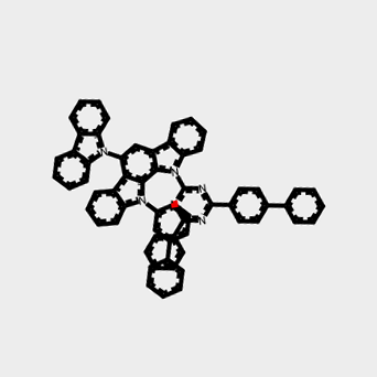 c1ccc(-c2ccc(-c3nc(-c4ccccc4)nc(-n4c5ccccc5c5cc(-n6c7ccccc7c7ccccc76)c6c7ccccc7n(-c7cccc(-c8ccccc8)c7)c6c54)n3)cc2)cc1